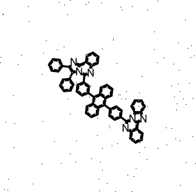 c1ccc(-c2nc3c4ccccc4nc(-c4cccc(-c5c6ccccc6c(-c6ccc(-c7nc8ccccc8c8nc9ccccc9n78)cc6)c6ccccc56)c4)n3c2-c2ccccc2)cc1